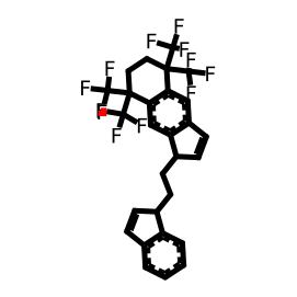 FC(F)(F)C1(C(F)(F)F)CCC(C(F)(F)F)(C(F)(F)F)c2cc3c(cc21)C=CC3CCC1C=Cc2ccccc21